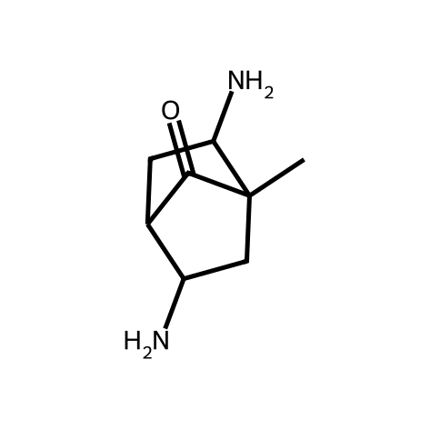 CC12CC(N)C(CC1N)C2=O